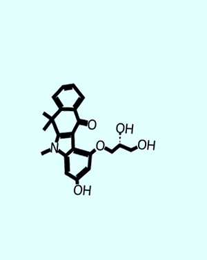 Cn1c2c(c3c(OC[C@H](O)CO)cc(O)cc31)C(=O)c1ccccc1C2(C)C